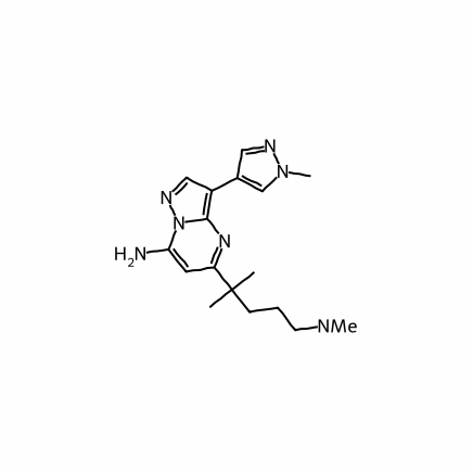 CNCCCC(C)(C)c1cc(N)n2ncc(-c3cnn(C)c3)c2n1